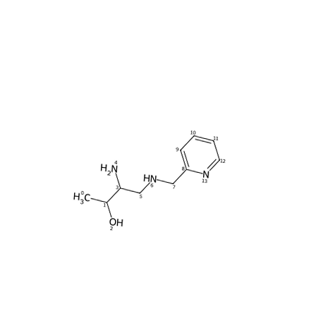 CC(O)C(N)CNCc1ccccn1